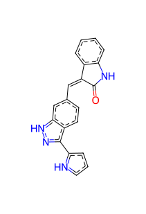 O=C1Nc2ccccc2/C1=C/c1ccc2c(-c3ccc[nH]3)n[nH]c2c1